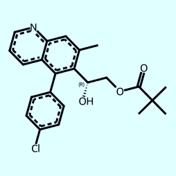 Cc1cc2ncccc2c(-c2ccc(Cl)cc2)c1[C@@H](O)COC(=O)C(C)(C)C